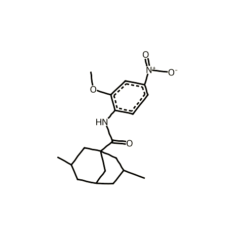 COc1cc([N+](=O)[O-])ccc1NC(=O)C12CC(C)CC(CC(C)C1)C2